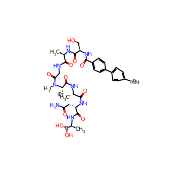 CCCCc1ccc(-c2ccc(C(=O)N[C@H](CO)C(=O)N[C@H](C)C(=O)NCC(=O)N(C)[C@H](C(=O)N[C@@H](C)C(=O)N[C@@H](CC(N)=O)C(=O)N[C@@H](C)B(O)O)C(C)C)cc2)cc1